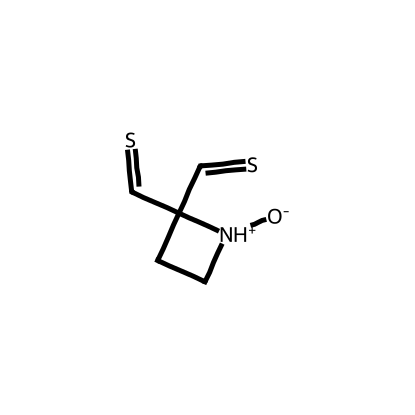 [O-][NH+]1CCC1(C=S)C=S